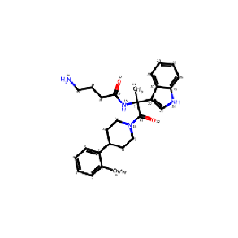 COc1ccccc1C1CCN(C(=O)C(C)(NC(=O)CCCN)c2c[nH]c3ccccc23)CC1